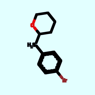 Brc1ccc([SiH2]C2CCCCO2)cc1